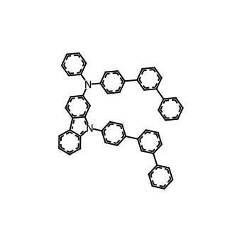 c1ccc(-c2cccc(-c3ccc(N(c4ccccc4)c4ccc5c6ccccc6n(-c6ccc(-c7cccc(-c8ccccc8)c7)cc6)c5c4)cc3)c2)cc1